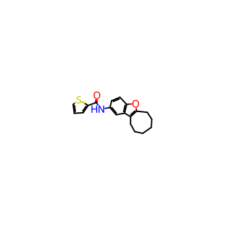 O=C(Nc1ccc2oc3c(c2c1)CCCCCC3)c1cccs1